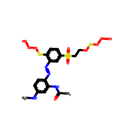 CNc1ccc(/N=N/c2cc(S(=O)(=O)CCOSOOO)ccc2SOOO)c(NC(C)=O)c1